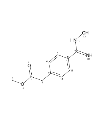 COC(=O)Cc1ccc(C(=N)NO)cc1